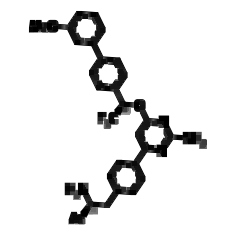 COc1cccc(-c2ccc([C@@H](Oc3cc(-c4ccc(C[C@H](N)C(C)=O)cc4)nc(N)n3)C(F)(F)F)cc2)c1